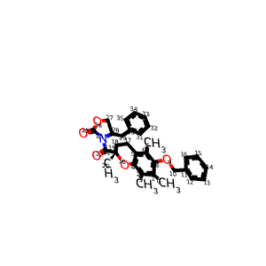 Cc1c(C)c2c(c(C)c1OCc1ccccc1)CC[C@@](C)(C(=O)N1C(=O)OCC1Cc1ccccc1)O2